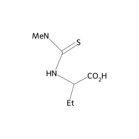 CCC(NC(=S)NC)C(=O)O